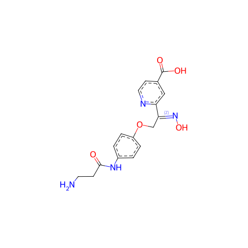 NCCC(=O)Nc1ccc(OC/C(=N\O)c2cc(C(=O)O)ccn2)cc1